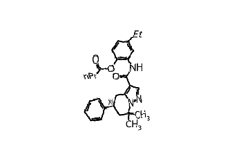 CCCC(=O)Oc1ccc(CC)cc1NC(=O)c1cnn2c1C[C@H](c1ccccc1)CC2(C)C